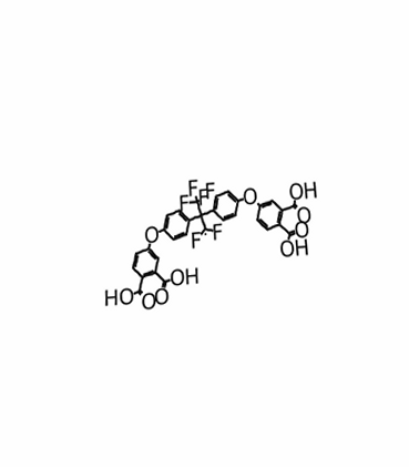 O=C(O)c1ccc(Oc2ccc(C([C](F)F)(c3ccc(Oc4ccc(C(=O)O)c(C(=O)O)c4)cc3F)C(F)(F)F)cc2)cc1C(=O)O